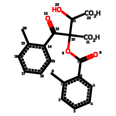 Cc1ccccc1C(=O)OC(C(=O)O)(C(=O)c1ccccc1C)C(O)C(=O)O